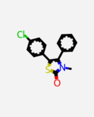 Cn1c(-c2ccccc2)c(-c2ccc(Cl)cc2)sc1=O